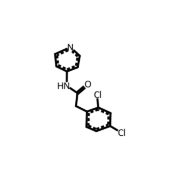 O=C(Cc1ccc(Cl)cc1Cl)Nc1ccncc1